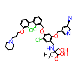 CC(CO)(NCc1cc(Cl)c(OCc2cccc(-c3cccc(OCCCN4CCCCC4)c3Cl)c2Cl)cc1OCc1cncc(C#N)c1)C(=O)O